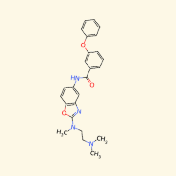 CN(C)CCN(C)c1nc2cc(NC(=O)c3cccc(Oc4ccccc4)c3)ccc2o1